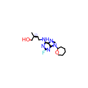 C/C(=C/CNc1nc(F)nc2c1ncn2C1CCCCCO1)CO